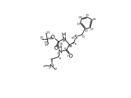 CN(C)CCNC(=O)[C@H](CSCc1ccccc1)NC(=O)OC(C)(C)C